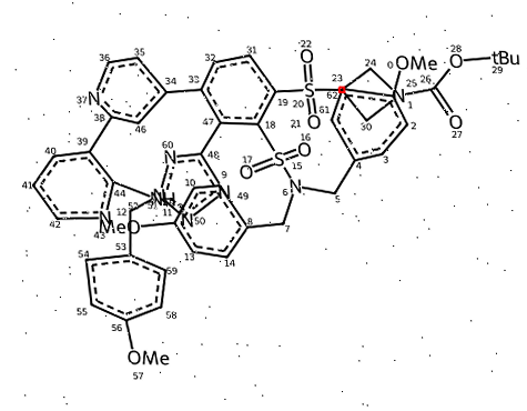 COc1ccc(CN(Cc2ccc(OC)cc2)S(=O)(=O)c2c(S(=O)(=O)C3CN(C(=O)OC(C)(C)C)C3)ccc(-c3ccnc(-c4cccnc4N)c3)c2-c2nnn(Cc3ccc(OC)cc3)n2)cc1